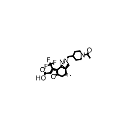 CC(=O)N1CCC(Cn2cc3c(n2)-c2c(oc(C(=O)O)c2C(F)(F)F)C[C@H]3C)CC1